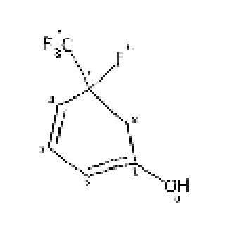 OC1=CC=CC(F)(C(F)(F)F)C1